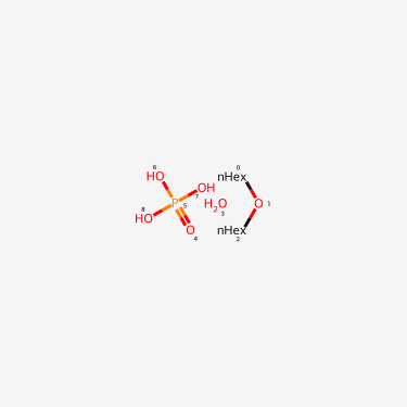 CCCCCCOCCCCCC.O.O=P(O)(O)O